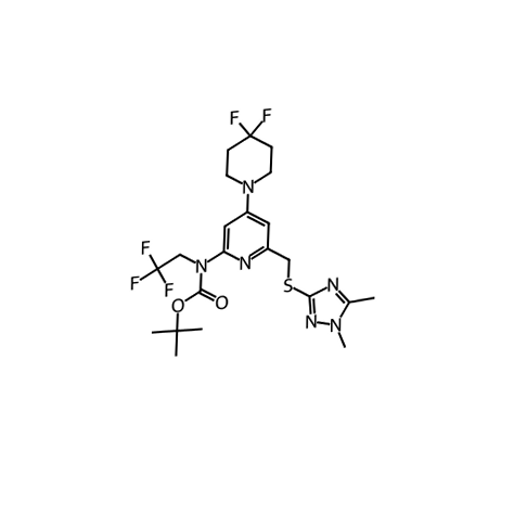 Cc1nc(SCc2cc(N3CCC(F)(F)CC3)cc(N(CC(F)(F)F)C(=O)OC(C)(C)C)n2)nn1C